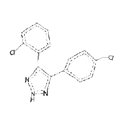 Clc1ccc(-c2n[nH]nc2-c2ccccc2Cl)cc1